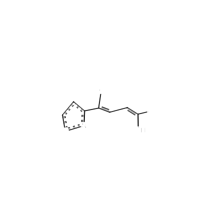 CC(C)=C/C=C(\C)c1ccon1